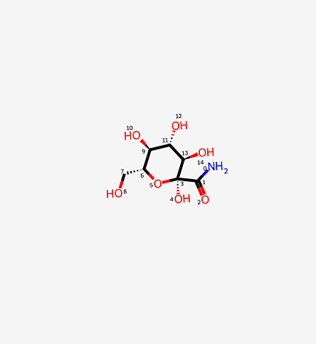 NC(=O)[C@@]1(O)O[C@H](CO)[C@@H](O)[C@H](O)[C@H]1O